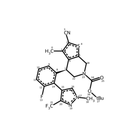 Cc1c(C#N)sc2c1[C@H](c1cccc(F)c1-c1cn(C)nc1C(F)(F)F)CN(C(=O)OC(C)(C)C)C2